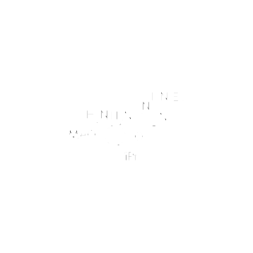 CCNc1ncc(Oc2cc(N)c(OC)cc2C(C)C)c(N)n1